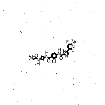 CN(C)c1nc(F)c(-c2cnc(C(=O)Nc3ccc(C(=O)NC4CC(NC(=O)C[N+](C)(C)C)C4)c(Cl)c3)n2C)cc1F